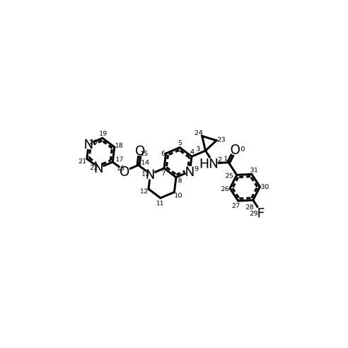 O=C(NC1(c2ccc3c(n2)CCCN3C(=O)Oc2ccncn2)CC1)c1ccc(F)cc1